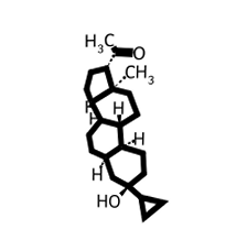 CC(=O)[C@H]1CC[C@H]2[C@@H]3CC[C@@H]4C[C@@](O)(C5CC5)CC[C@@H]4[C@H]3CC[C@]12C